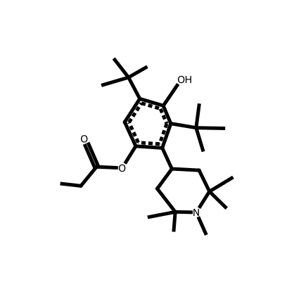 CCC(=O)Oc1cc(C(C)(C)C)c(O)c(C(C)(C)C)c1C1CC(C)(C)N(C)C(C)(C)C1